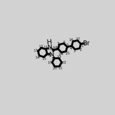 BrC1CCC(C2CCC(C3NC4CCCCC4N3C3CCCCC3)CC2)CC1